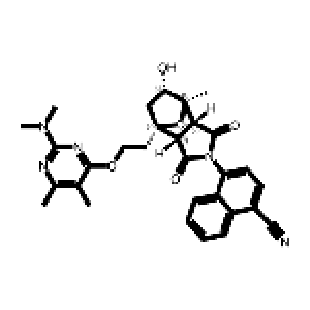 Cc1nc(N(C)C)nc(OCC[C@]23C[C@H](O)[C@](C)(O2)[C@@H]2C(=O)N(c4ccc(C#N)c5ccccc45)C(=O)[C@@H]23)c1C